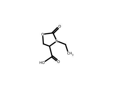 CCN1C(=O)OCC1C(=O)O